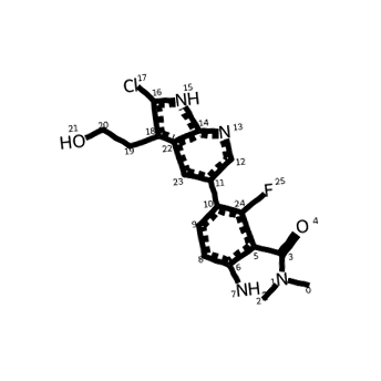 CN(C)C(=O)c1c(N)ccc(-c2cnc3[nH]c(Cl)c(CCO)c3c2)c1F